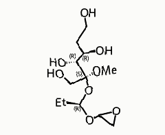 CC[C@H](OC1CO1)O[C@](CO)(OC)[C@H](O)[C@H](O)CCO